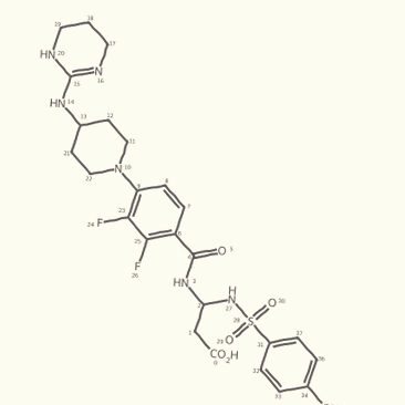 O=C(O)CC(NC(=O)c1ccc(N2CCC(NC3=NCCCN3)CC2)c(F)c1F)NS(=O)(=O)c1ccc(O)cc1